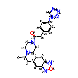 CC(Cc1ccc2nonc2c1)N1CCN(C(=O)Cc2ccc(-n3cnnn3)cc2)CC1